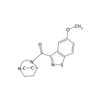 COc1ccc2snc(C(=O)N3CCN4CCC3CC4)c2c1